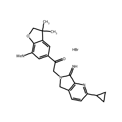 Br.CNc1cc(C(=O)CN2Cc3ccc(C4CC4)nc3C2=N)cc2c1OCC2(C)C